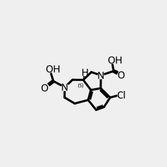 O=C(O)N1CCc2ccc(Cl)c3c2[C@@H](C1)CN3C(=O)O